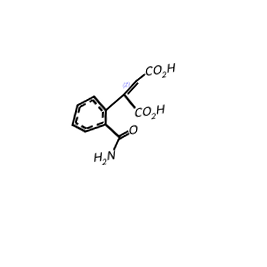 NC(=O)c1ccccc1/C(=C/C(=O)O)C(=O)O